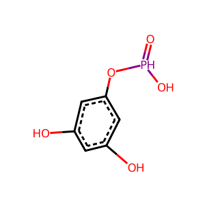 O=[PH](O)Oc1cc(O)cc(O)c1